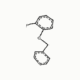 Fc1ccccc1O[CH]c1ccccc1